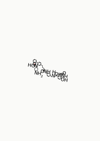 N[C@H]1CC[C@H](N(C(=O)O)c2cc(CCCC(=O)NCc3ccc(CNCC(O)c4ccc(O)c5[nH]c(=O)ccc45)cc3)ccc2-c2ccccc2)CC1